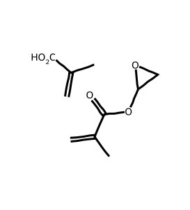 C=C(C)C(=O)O.C=C(C)C(=O)OC1CO1